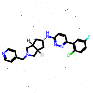 Fc1ccc(Cl)c(-c2ccc(N[C@@H]3C[C@@H]4CN(Cc5ccncc5)C[C@@H]4C3)nn2)c1